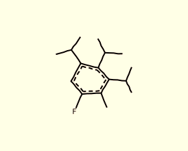 Cc1c(F)cc(C(C)C)c(C(C)C)c1C(C)C